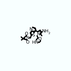 Cc1c(N)cc(-c2ccnc3cc(CN4C(=O)C5C(C4=O)C5(C)C)sc23)n1CC1CNCCO1